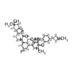 CC(=O)OCc1c(-c2cn(C)c(=O)c(Nc3ccc(C4CN(C)C4)cc3)n2)cc(F)cc1N1CCc2c(sc3c2CC(C)(C)C3)C1=O